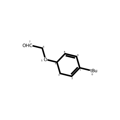 CC(C)(C)C1=CCC(OCC=O)C=C1